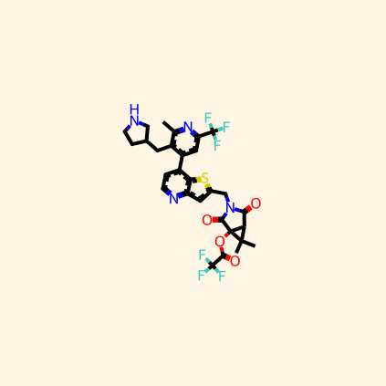 Cc1nc(C(F)(F)F)cc(-c2ccnc3cc(CN4C(=O)C5C(C)(C)C5(OC(=O)C(F)(F)F)C4=O)sc23)c1CC1CCNC1